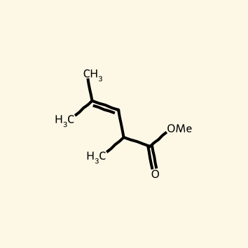 COC(=O)C(C)C=C(C)C